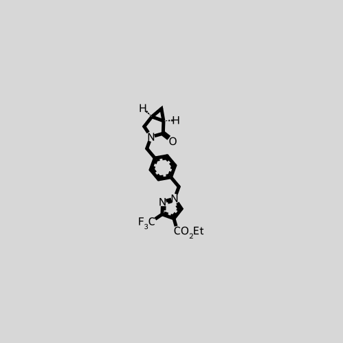 CCOC(=O)c1cn(Cc2ccc(CN3C[C@H]4C[C@H]4C3=O)cc2)nc1C(F)(F)F